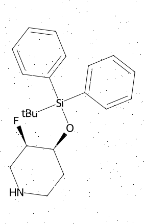 CC(C)(C)[Si](O[C@H]1CCNC[C@H]1F)(c1ccccc1)c1ccccc1